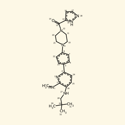 CNc1nc(-c2ccc(N3CCN(C(=O)c4ccn[nH]4)CC3)cc2)ccc1NCC(C)(C)C